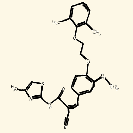 COc1cc(/C=C(/C#N)C(=O)Nc2nc(C)cs2)ccc1OCCOc1c(C)cccc1C